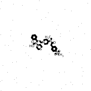 CCN(C(=O)Cc1ccc(S(C)(=O)=O)cc1)C1CCN(CC[C@@H](c2ccccc2)N(C(=O)O)N2CCSCC2)CC1